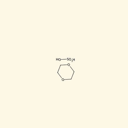 C1COCCO1.O=S(=O)(O)O